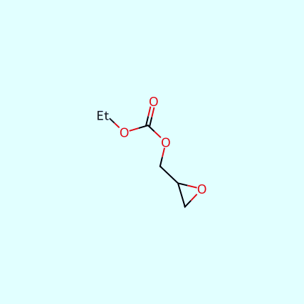 CCOC(=O)OCC1CO1